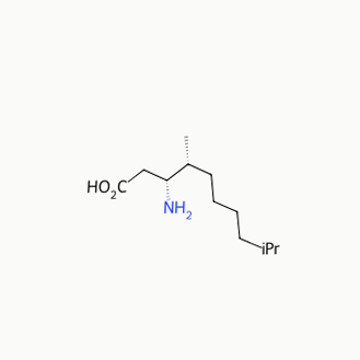 CC(C)CCCC[C@@H](C)[C@H](N)CC(=O)O